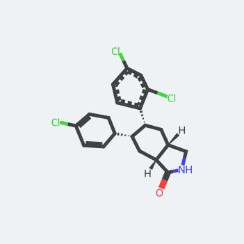 O=C1NC[C@H]2C[C@@H](c3ccc(Cl)cc3Cl)[C@@H](C3C=CC(Cl)=CC3)C[C@@H]12